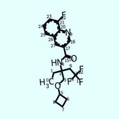 CCC(COC1CCC1)(CC(F)(F)F)NC(=O)c1cnc2c(F)cccc2c1